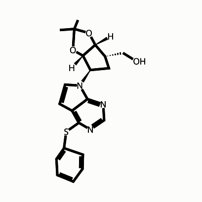 CC1(C)O[C@@H]2[C@H](CO)C[C@@H](n3ccc4c(Sc5ccccc5)ncnc43)[C@@H]2O1